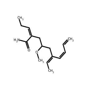 C=C/C=C\C(=C/C)CC(C/C(=C/CC)C(N)=O)OC